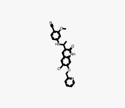 COc1cc(NC(C)c2cc3cc(Cl)c(OCc4ccccn4)cc3[nH]c2=O)ccc1C#N